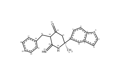 C[C@@]1(c2ccc3sccc3c2)CC(=O)C(Cc2ccncc2)C(=N)N1